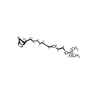 C[SiH](C)OCCOCCCCOCC1CO1